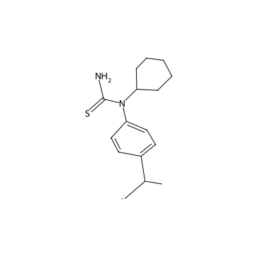 [CH2]C(C)c1ccc(N(C(N)=S)C2CCCCC2)cc1